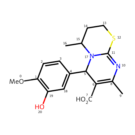 COc1ccc(C2C(C(=O)O)=C(C)N=C3SCCC(C)N32)cc1O